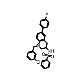 Cc1cccc(CN2CC(NS(=O)(=O)c3ccccc3)Cc3cc(-c4ccc(F)cc4)ccc32)c1